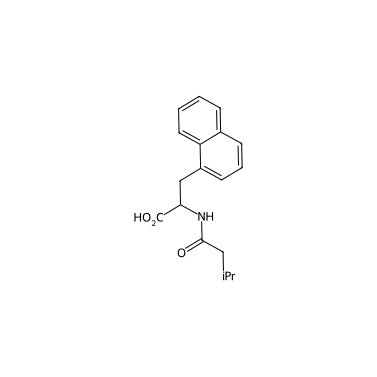 CC(C)CC(=O)NC(Cc1cccc2ccccc12)C(=O)O